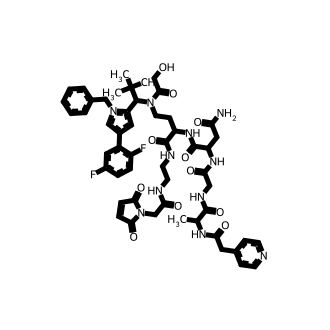 CC(NC(=O)Cc1ccncc1)C(=O)NCC(=O)NC(CC(N)=O)C(=O)NC(CCN(C(=O)CO)C(c1cc(-c2cc(F)ccc2F)cn1Cc1ccccc1)C(C)(C)C)C(=O)NCCNC(=O)CN1C(=O)C=CC1=O